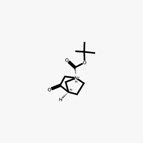 CC(C)(C)OC(=O)[N@+]12CC[C@H](C1)C(=O)C2